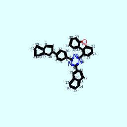 C1=CC(c2ccc(-c3nc(-c4ccc5ccccc5c4)nc(-c4cccc5oc6ccccc6c45)n3)cc2)Cc2ccccc21